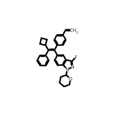 C=Cc1ccc(/C(=C(/c2ccccc2)C2CCC2)c2ccc3c(c2)c(F)nn3C2CCCCO2)cc1